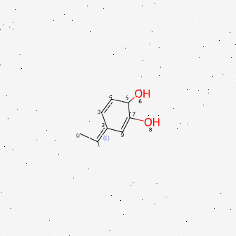 C/C=C1\C=CC(O)C(O)=C1